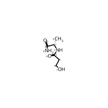 C[C@H](NC(=O)CCO)C(N)=O